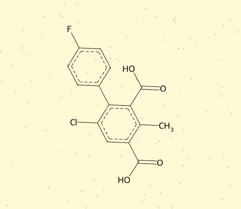 Cc1c(C(=O)O)cc(Cl)c(-c2ccc(F)cc2)c1C(=O)O